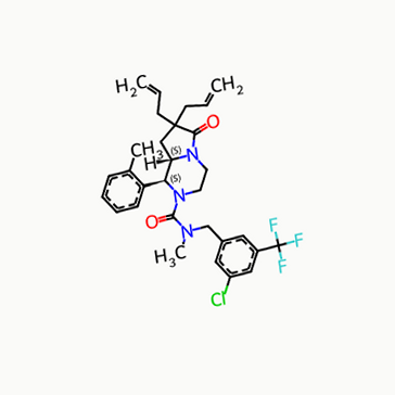 C=CCC1(CC=C)C[C@H]2[C@H](c3ccccc3C)N(C(=O)N(C)Cc3cc(Cl)cc(C(F)(F)F)c3)CCN2C1=O